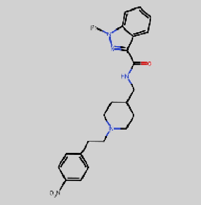 CC(C)n1nc(C(=O)NCC2CCN(CCc3ccc([N+](=O)[O-])cc3)CC2)c2ccccc21